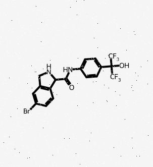 O=C(Nc1ccc(C(O)(C(F)(F)F)C(F)(F)F)cc1)C1NCc2cc(Br)ccc21